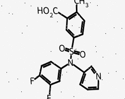 Cc1ccc(S(=O)(=O)N(c2cccnc2)c2ccc(F)c(F)c2)cc1C(=O)O